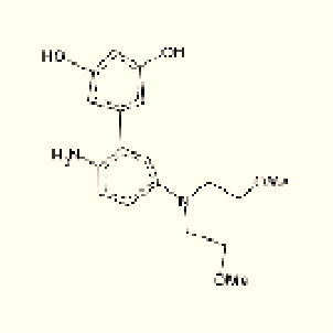 COCCN(CCOC)c1ccc(N)c(-c2cc(O)cc(O)c2)c1